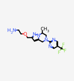 CC1CN(c2ncc(C(F)(F)F)cn2)Cc2cc(COCCN)nn21